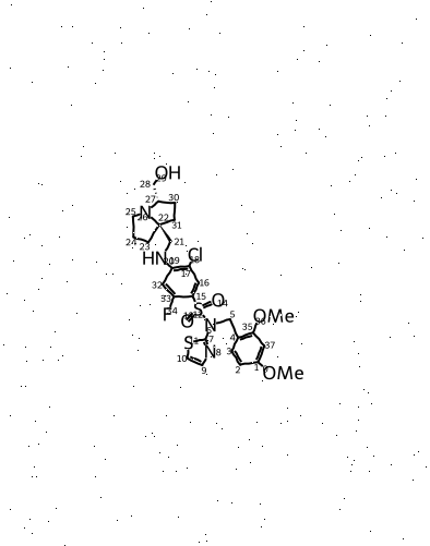 COc1ccc(CN(c2nccs2)S(=O)(=O)c2cc(Cl)c(NC[C@@]34CCCN3[C@H](CO)CC4)cc2F)c(OC)c1